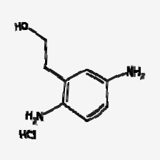 Cl.Nc1ccc(N)c(CCO)c1